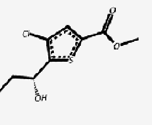 CC[C@@H](O)c1sc(C(=O)OC)cc1Cl